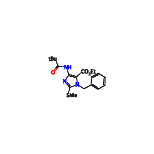 CCOC(=O)c1c(NC(=O)C(C)(C)C)nc(SC)n1Cc1ccccc1